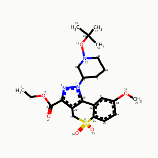 CCOC(=O)c1nn(C2CCCN(OC(C)(C)C)C2)c2c1CS(=O)(=O)c1ccc(OC)cc1-2